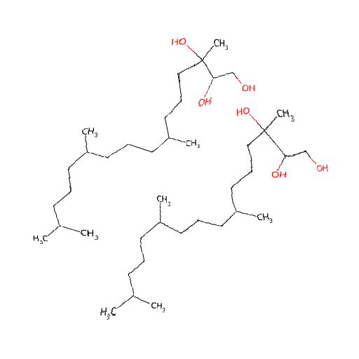 CC(C)CCCC(C)CCCC(C)CCCC(C)(O)C(O)CO.CC(C)CCCC(C)CCCC(C)CCCC(C)(O)C(O)CO